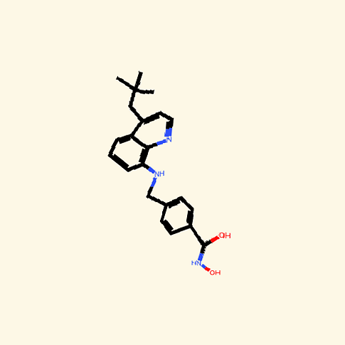 CC(C)(C)Cc1ccnc2c(NCc3ccc(C(O)NO)cc3)cccc12